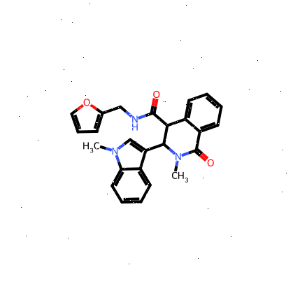 CN1C(=O)c2ccccc2C(C(=O)NCc2ccco2)C1c1cn(C)c2ccccc12